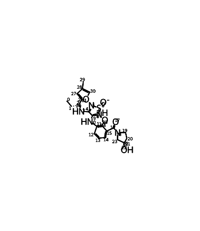 CC[C@@H](Nc1n[s+]([O-])nc1Nc1cccc(C(=O)N2CC[C@@H](O)C2)c1O)c1cc(C)co1